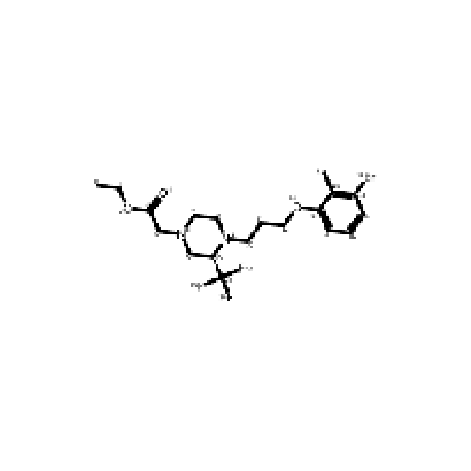 CCOC(=O)CN1CCN(CCCOc2cccc(Br)c2C)[C@@H](C(F)(F)F)C1